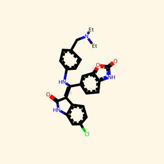 CCN(CC)Cc1ccc(N/C(=C2\C(=O)Nc3cc(Cl)ccc32)c2ccc3[nH]c(=O)oc3c2)cc1